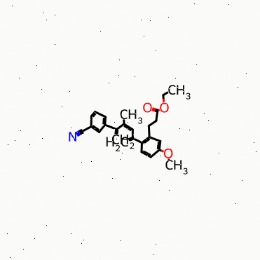 C=C(/C(C)=C\C(=C)c1ccc(OC)cc1CCC(=O)OCC)c1cccc(C#N)c1